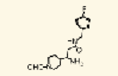 NC(CC(=O)NCc1ccc(F)cc1)C1CCN(C=O)CC1